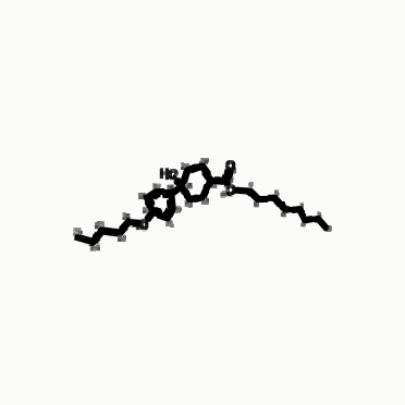 CCCCCCCCOC(=O)C1CCC(O)(c2ccc(OCCCCC)cc2)CC1